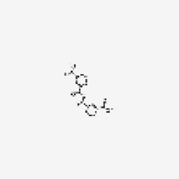 COC(=O)c1cccc(C(=O)OC(=O)c2cccc(C(=O)OC)c2)c1